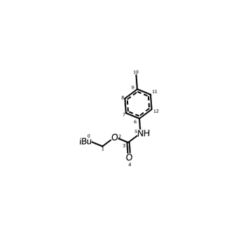 CCC(C)COC(=O)Nc1ccc(C)cc1